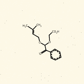 CC(C)=CCOC(OCC(=O)O)C(=O)c1ccccc1